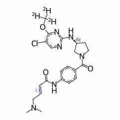 [2H]C([2H])([2H])Oc1nc(N[C@H]2CCN(C(=O)c3ccc(NC(=O)/C=C/CN(C)C)cc3)C2)ncc1Cl